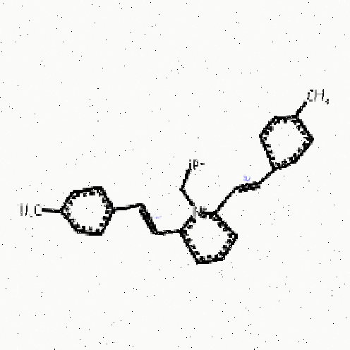 Cc1ccc(/C=C/c2cccc(/C=C/c3ccc(C)cc3)[n+]2CC(C)C)cc1